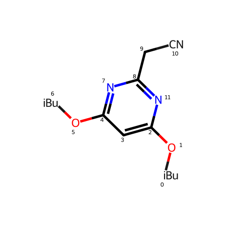 CCC(C)Oc1cc(OC(C)CC)nc(CC#N)n1